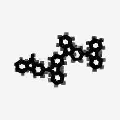 Cn1c2ccccc2c2ccc(-n3c4ccccc4c4cc(-n5c6c(c7ccccc75)C=C(n5c7ccccc7c7ccccc75)CC6)ccc43)cc21